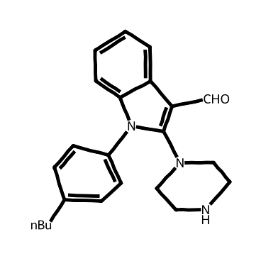 CCCCc1ccc(-n2c(N3CCNCC3)c(C=O)c3ccccc32)cc1